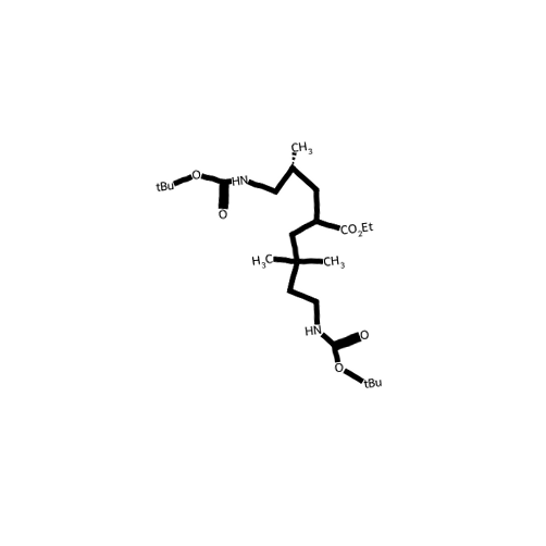 CCOC(=O)C(C[C@@H](C)CNC(=O)OC(C)(C)C)CC(C)(C)CCNC(=O)OC(C)(C)C